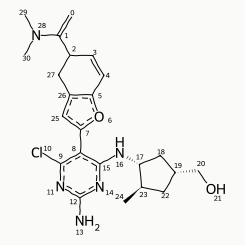 C=C(C1C=Cc2oc(-c3c(Cl)nc(N)nc3N[C@@H]3C[C@H](CO)C[C@H]3C)cc2C1)N(C)C